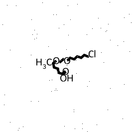 CC(CCCC(=O)O)OCCOCCCCCCCl